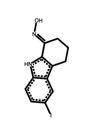 ON=C1CCCc2c1[nH]c1ccc(I)cc21